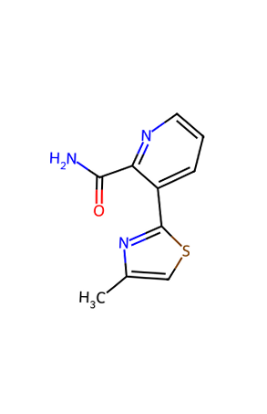 Cc1csc(-c2cccnc2C(N)=O)n1